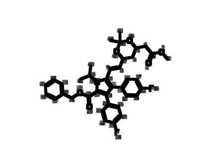 COC(=O)CC1CC(/C=C/c2c(-c3ccc(F)cc3)c(-c3ccc(F)cc3)c(C(=O)OCc3ccccc3)n2C(C)C)OC(C)(C)O1